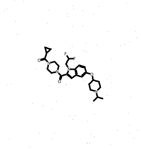 CC(C)N1CCC(Oc2ccc3c(c2)cc(C(=O)N2CCN(C(=O)C4CC4)CC2)n3CC(F)F)CC1